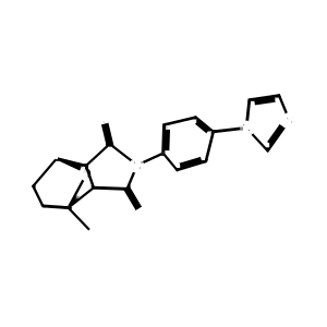 CC12CCC(O1)C1C(=O)N(c3ccc(-n4ccnc4)cc3)C(=O)C12